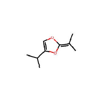 CC(C)=C1OC=C(C(C)C)O1